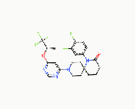 C[C@@H](Oc1cc(N2CCC3(CCCC(=O)N3c3ccc(F)c(F)c3)CC2)ncn1)C(F)(F)F